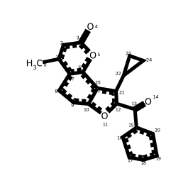 Cc1cc(=O)oc2c1ccc1oc(C(=O)c3ccccc3)c(C3CC3)c12